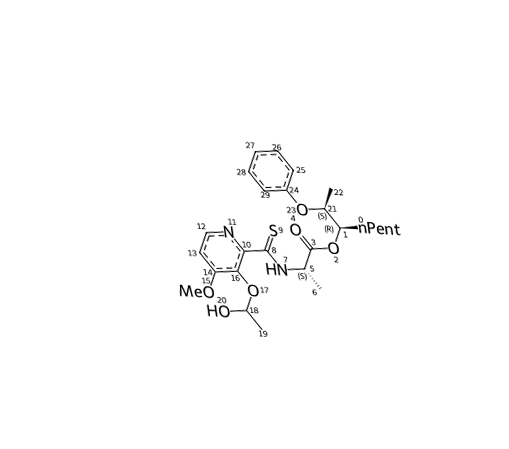 CCCCC[C@@H](OC(=O)[C@H](C)NC(=S)c1nccc(OC)c1OC(C)O)[C@H](C)Oc1ccccc1